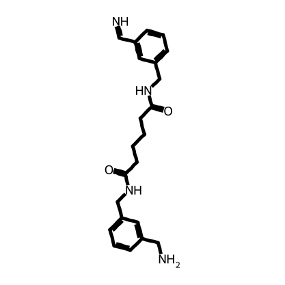 N=Cc1cccc(CNC(=O)CCCCC(=O)NCc2cccc(CN)c2)c1